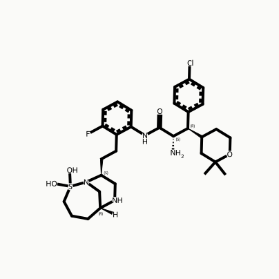 CC1(C)CC([C@H](c2ccc(Cl)cc2)[C@H](N)C(=O)Nc2cccc(F)c2CC[C@H]2CN[C@@H]3CCCS(O)(O)N2C3)CCO1